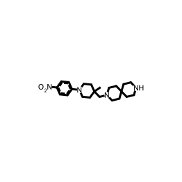 CC1(CN2CCC3(CCNCC3)CC2)CCN(c2ccc([N+](=O)[O-])cc2)CC1